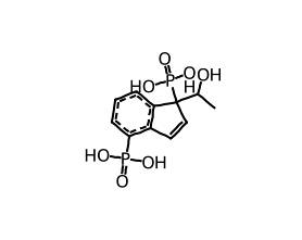 CC(O)C1(P(=O)(O)O)C=Cc2c1cccc2P(=O)(O)O